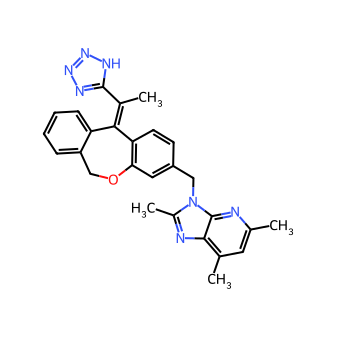 CC(=C1c2ccccc2COc2cc(Cn3c(C)nc4c(C)cc(C)nc43)ccc21)c1nnn[nH]1